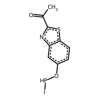 CC(=O)c1nc2cc(OPI)ccc2s1